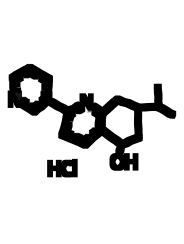 CC(C)C1Cc2nc(-c3cccnc3)ccc2C(O)C1.Cl